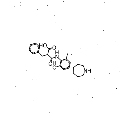 C1CCCNCC1.Cc1cccc(O)c1NC(=O)C(Cc1ccccc1)C(=O)O